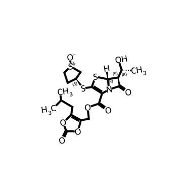 CC(C)Cc1oc(=O)oc1COC(=O)C1=C(S[C@H]2CC[S@@+]([O-])C2)S[C@@H]2[C@@H]([C@@H](C)O)C(=O)N12